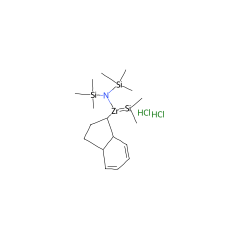 C[Si](C)=[Zr]([CH]1CCC2C=CC=CC21)[N]([Si](C)(C)C)[Si](C)(C)C.Cl.Cl